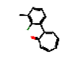 Cc1cccc(-c2cccccc2=O)c1Cl